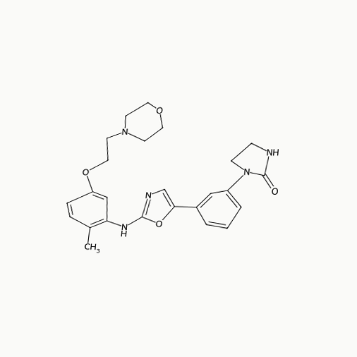 Cc1ccc(OCCN2CCOCC2)cc1Nc1ncc(-c2cccc(N3CCNC3=O)c2)o1